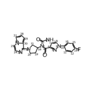 NC(=O)N(C(=O)c1ccn(-c2ccc(F)cc2)n1)C1CCN(c2nccn3cccc23)C1